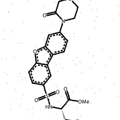 COC(=O)[C@H](CC(C)C)NS(=O)(=O)c1ccc2oc3cc(N4CCOCC4=O)ccc3c2c1